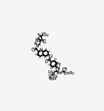 CC(C)(C)CN(Cc1csc(C(C)(C)C)c1Cl)C(=O)c1ccc2cc(OC(=O)c3ccc(N/C(=N\C(=O)OC(C)(C)C)NC(=O)OC(C)(C)C)cc3)ccc2n1